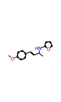 COc1ccc(/C=C/C(C)Nc2ccco2)cc1